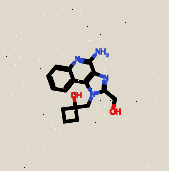 Nc1nc2ccccc2c2c1nc(CO)n2CC1(O)CCC1